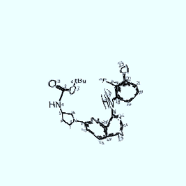 CC(C)(C)OC(=O)NC1CCN(c2ccc3ncnc(Nc4cccc(Cl)c4F)c3n2)C1